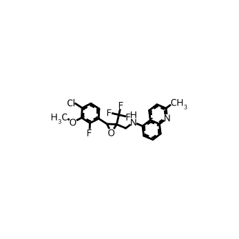 COc1c(Cl)ccc(C2OC2(CNc2cccc3nc(C)ccc23)C(F)(F)F)c1F